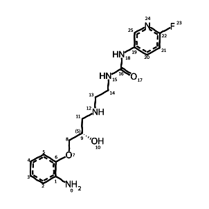 Nc1ccccc1OC[C@@H](O)CNCCNC(=O)Nc1ccc(F)nc1